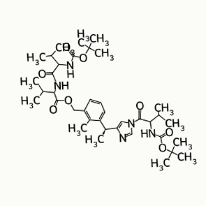 Cc1c(COC(=O)C(NC(=O)C(NC(=O)OC(C)(C)C)C(C)C)C(C)C)cccc1[C@H](C)c1cn(C(=O)C(NC(=O)OC(C)(C)C)C(C)C)cn1